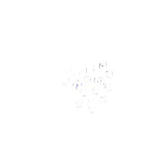 C=C/C=C(\C=C/C)c1nc(-c2ccc(-c3c(-c4ccc(-c5nc(-c6ccccc6)c(/C(C=C)=C/C=C\C)n5-c5ccccc5)cc4)c(-c4ccccc4)c4ccccc4c3-c3ccccc3)cc2)n(-c2ccccc2)c1-c1ccccc1